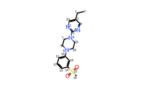 CCc1cnc(N2CCN(c3cc[c]c(S(C)(=O)=O)c3)CC2)nc1